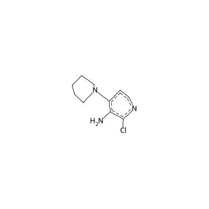 Nc1c(N2CCCCC2)ccnc1Cl